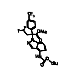 COC(=O)C(CC(F)F)(c1ccc(C(F)(F)F)cc1)n1ncc2c(NC(=O)OC(C)(C)C)cccc21